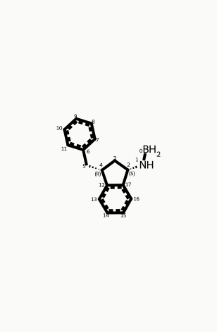 BN[C@H]1C[C@@H](Cc2ccccc2)c2ccccc21